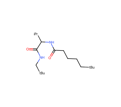 CC(C)C(NC(=O)CCCCC(C)(C)C)C(=O)NCC(C)(C)C